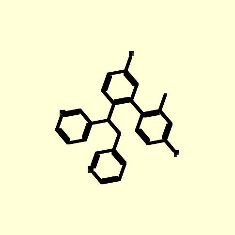 Cc1cc(F)ccc1-c1cc(F)ccc1C(Cc1cccnc1)c1cccnc1